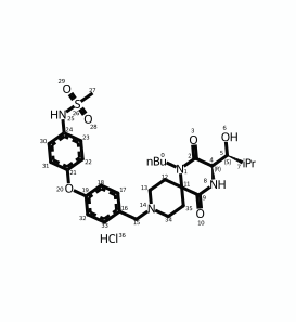 CCCCN1C(=O)[C@@H]([C@@H](O)C(C)C)NC(=O)C12CCN(Cc1ccc(Oc3ccc(NS(C)(=O)=O)cc3)cc1)CC2.Cl